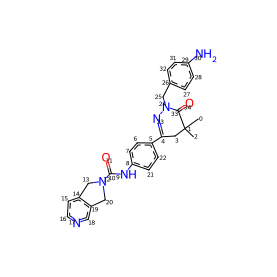 CC1(C)CC(c2ccc(NC(=O)N3Cc4ccncc4C3)cc2)=NN(Cc2ccc(N)cc2)C1=O